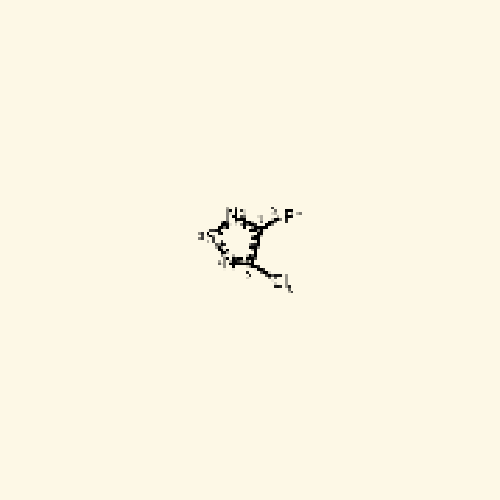 CC(C)c1nsnc1Cl